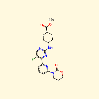 CCCCOC(=O)[C@H]1CC[C@H](Nc2ncc(F)c(-c3cccc(N4CCCOC4=O)n3)n2)CC1